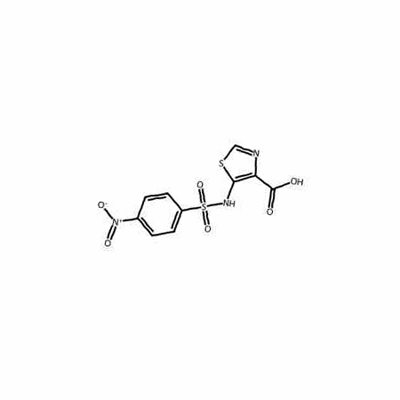 O=C(O)c1ncsc1NS(=O)(=O)c1ccc([N+](=O)[O-])cc1